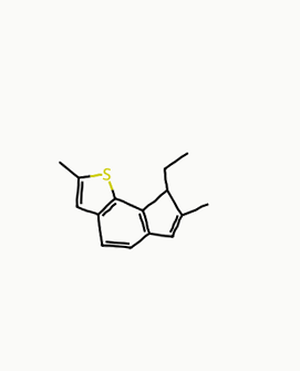 CCC1C(C)=Cc2ccc3cc(C)sc3c21